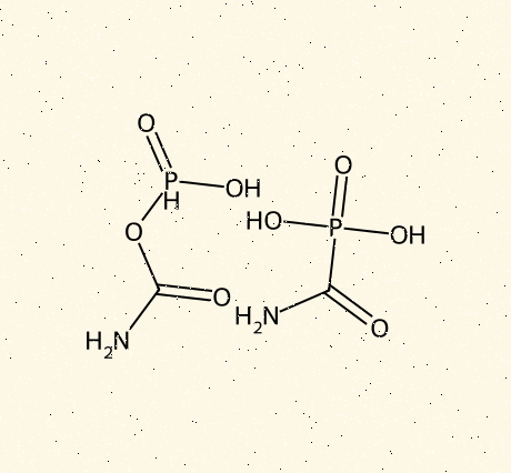 NC(=O)O[PH](=O)O.NC(=O)P(=O)(O)O